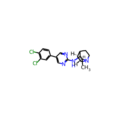 C[C@@H]1[C@@H](Nc2ncc(-c3ccc(Cl)c(Cl)c3)cn2)C2CCN1CC2